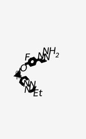 CCc1cnc(N2CCC([C@H]3C[C@H]3COCc3ccc(-c4ccnc(N)n4)cc3F)CC2)nc1